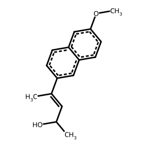 COc1ccc2cc(C(C)=CC(C)O)ccc2c1